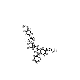 CC(C)c1ccc(C(=O)NC2CCCN(CC3CN(c4ccccn4)c4ccc(C(=O)O)cc43)C2)cc1